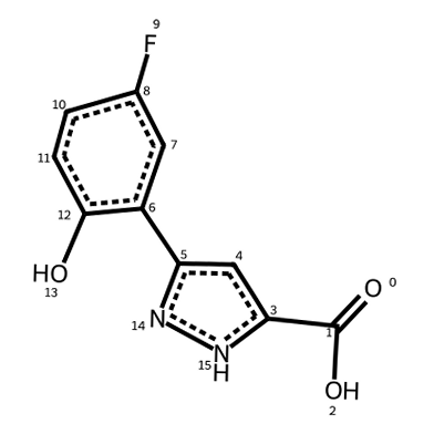 O=C(O)c1cc(-c2cc(F)ccc2O)n[nH]1